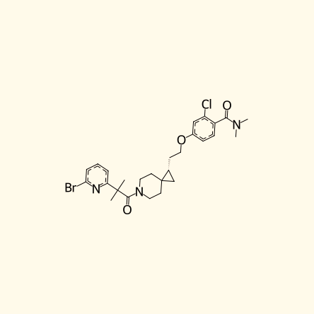 CN(C)C(=O)c1ccc(OCC[C@@H]2CC23CCN(C(=O)C(C)(C)c2cccc(Br)n2)CC3)cc1Cl